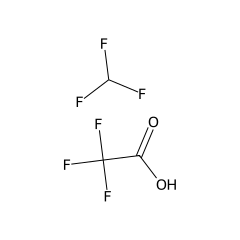 FC(F)F.O=C(O)C(F)(F)F